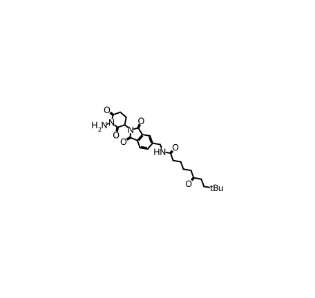 CC(C)(C)CCC(=O)CCCCC(=O)NCc1ccc2c(c1)C(=O)N(C1CCC(=O)N(N)C1=O)C2=O